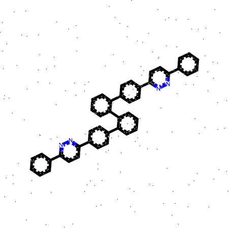 c1ccc(-c2ccc(-c3ccc(-c4ccccc4-c4ccccc4-c4ccc(-c5ccc(-c6ccccc6)nn5)cc4)cc3)nn2)cc1